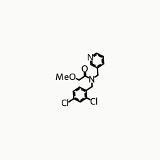 COCC(=O)N(Cc1cccnc1)Cc1ccc(Cl)cc1Cl